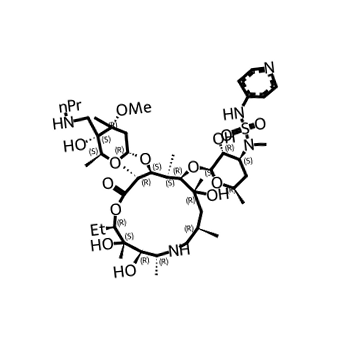 CCCNC[C@]1(O)[C@H](C)O[C@@H](O[C@H]2[C@H](C)[C@@H](O[C@@H]3O[C@H](C)C[C@H](N(C)S(=O)(=O)Nc4ccncc4)[C@H]3O)[C@](C)(O)C[C@@H](C)CN[C@H](C)[C@@H](O)[C@](C)(O)[C@@H](CC)OC(=O)[C@@H]2C)C[C@@]1(C)OC